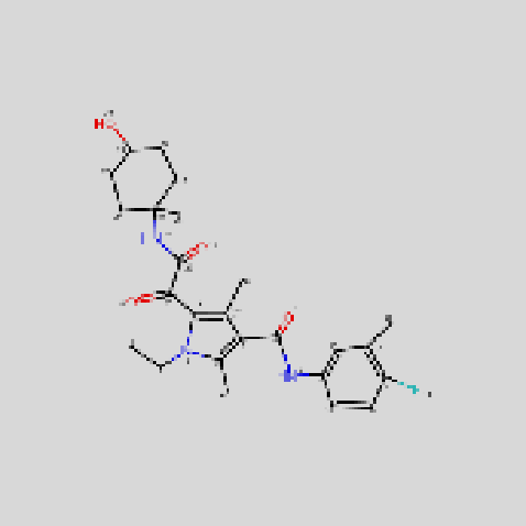 CCn1c(C)c(C(=O)Nc2ccc(F)c(C)c2)c(C)c1C(=O)C(=O)NC1(C)CCC(O)CC1